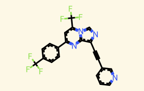 FC(F)(F)c1ccc(-c2cc(C(F)(F)F)n3cnc(C#Cc4cccnc4)c3n2)cc1